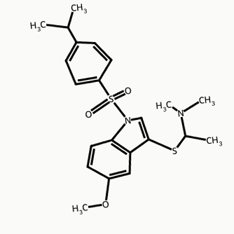 COc1ccc2c(c1)c(SC(C)N(C)C)cn2S(=O)(=O)c1ccc(C(C)C)cc1